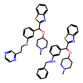 CN1CCC(OC(c2cccc(NCc3ccccc3)c2)c2nc3ccccc3s2)CC1.CN1CCC(OC(c2cccc(SCCc3cnccn3)c2)c2nc3ccccc3s2)CC1